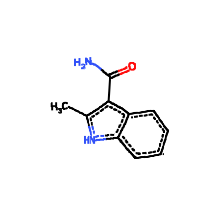 Cc1[nH]c2c[c]ccc2c1C(N)=O